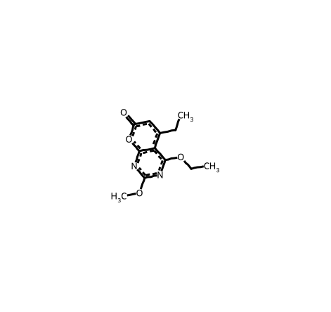 CCOc1nc(OC)nc2oc(=O)cc(CC)c12